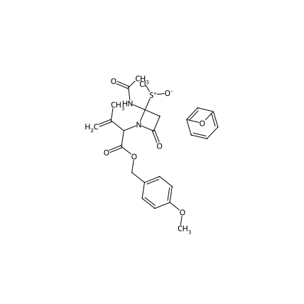 C=C(C)C(C(=O)OCc1ccc(OC)cc1)N1C(=O)CC1(NC(C)=O)[S+]([O-])Cl.c1cc2cc(c1)O2